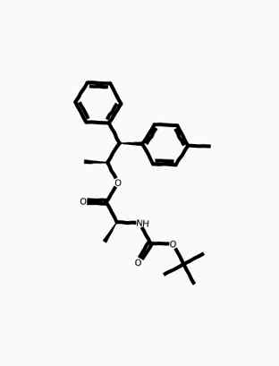 Cc1ccc([C@H](c2ccccc2)[C@H](C)OC(=O)[C@H](C)NC(=O)OC(C)(C)C)cc1